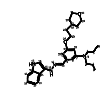 CCCN(CCC)c1cc(/C=N/Nc2c[nH]c3ccccc23)nc(OCCN2CCOCC2)c1